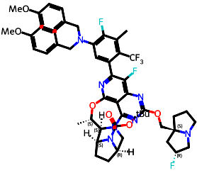 COc1ccc(CN(Cc2ccc(OC)cc2)c2cc(-c3nc4c5c(nc(OC[C@@]67CCCN6C[C@H](F)C7)nc5c3F)N3C[C@H]5CC[C@@H]([C@H]3[C@H](C)O4)N5C(=O)OC(C)(C)C)c(C(F)(F)F)c(C)c2F)cc1